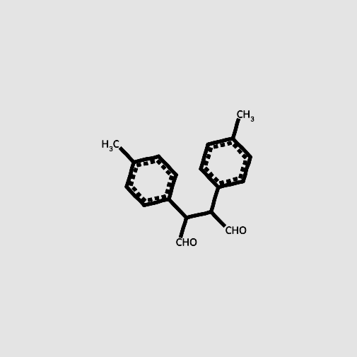 Cc1ccc(C(C=O)C(C=O)c2ccc(C)cc2)cc1